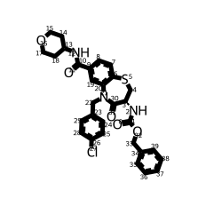 O=C(N[C@H]1CSc2ccc(C(=O)NC3CCOCC3)cc2N(Cc2ccc(Cl)cc2)C1=O)OCc1ccccc1